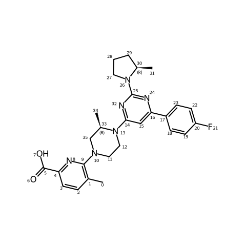 Cc1ccc(C(=O)O)nc1N1CCN(c2cc(-c3ccc(F)cc3)nc(N3CCC[C@H]3C)n2)[C@H](C)C1